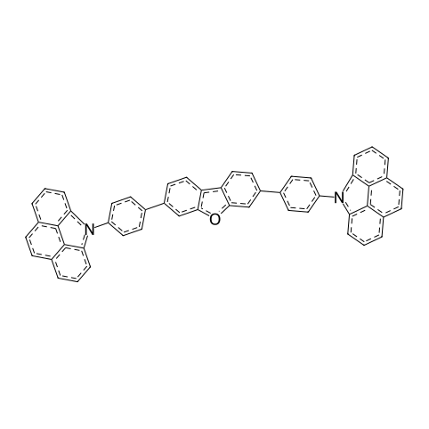 c1cc2ccc3cccc4c3c2c(c1)n4-c1ccc(-c2ccc3c(c2)oc2cc(-c4ccc(-n5c6cccc7ccc8cccc5c8c76)cc4)ccc23)cc1